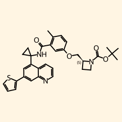 Cc1ccc(OC[C@@H]2CCN2C(=O)OC(C)(C)C)cc1C(=O)NC1(c2cc(-c3cccs3)cc3ncccc23)CC1